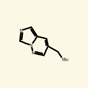 CC(C)(C)Cc1cnn2cncc2c1